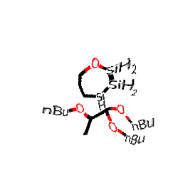 CCCCOC(C)C(OCCCC)(OCCCC)[SiH]1CCO[SiH2][SiH2]1